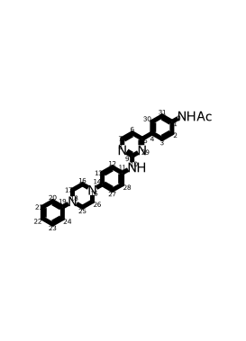 CC(=O)Nc1ccc(-c2ccnc(Nc3ccc(N4CCN(c5ccccc5)CC4)cc3)n2)cc1